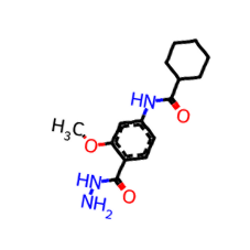 COc1cc(NC(=O)C2CCCCC2)ccc1C(=O)NN